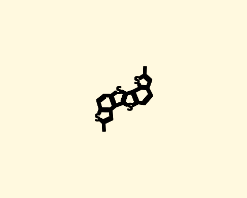 Cc1cc2c(ccc3sc4c(sc5ccc6cc(C)sc6c54)c32)s1